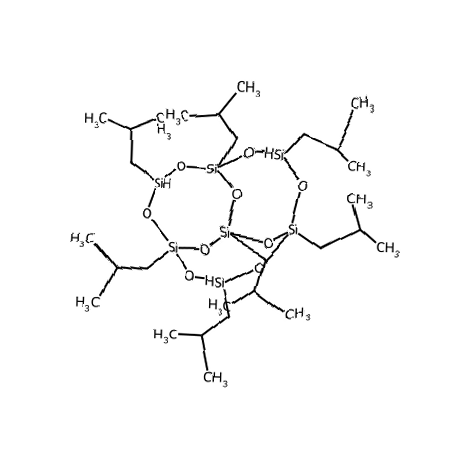 CC(C)C[SiH]1O[Si]2(CC(C)C)O[SiH](CC(C)C)O[Si]3(CC(C)C)O[SiH](CC(C)C)O[Si](CC(C)C)(O1)O[Si](CC(C)C)(O2)O3